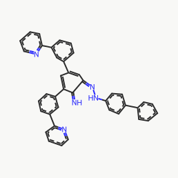 N=C1C(c2cccc(-c3ccccn3)c2)=CC(c2cccc(-c3ccccn3)c2)=C/C1=N/Nc1ccc(-c2ccccc2)cc1